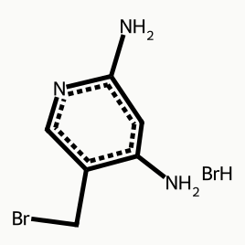 Br.Nc1cc(N)c(CBr)cn1